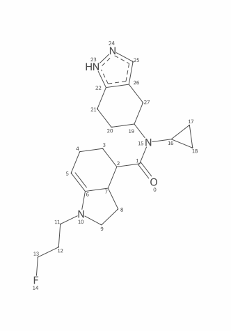 O=C(C1CCC=C2C1CCN2CCCF)N(C1CC1)C1CCc2[nH]ncc2C1